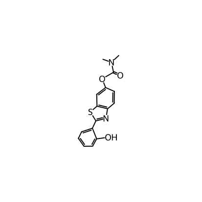 CN(C)C(=O)Oc1ccc2nc(-c3ccccc3O)sc2c1